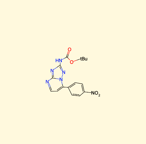 CC(C)(C)OC(=O)Nc1nc2nccc(-c3ccc([N+](=O)[O-])cc3)n2n1